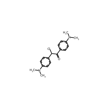 CN(C)c1ccc(C(=O)C(Cl)c2ccc(N(C)C)cc2)cc1